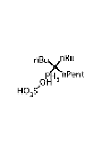 CCCCCC(P)(CCCC)CCCC.O=S(=O)(O)O